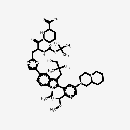 CCn1c(-c2cc(N3CCN4CCCCC4C3)cnc2[C@H](C)OC)c(CC(C)(C)CO)c2cc(-c3csc(CC(NC(=O)OC(C)(C)C)C(=O)N4CCCC(C(=O)O)N4)n3)ccc21